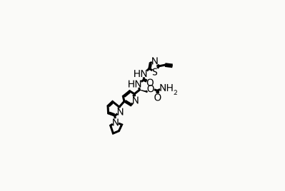 C#Cc1ncc(NC(=O)N[C@@H](COC(N)=O)c2ccc(-c3cccc(N4CCCC4)n3)cn2)s1